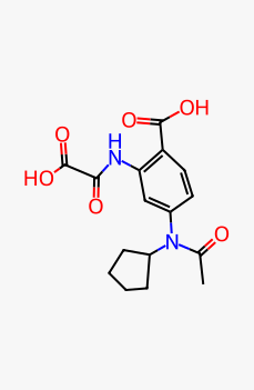 CC(=O)N(c1ccc(C(=O)O)c(NC(=O)C(=O)O)c1)C1CCCC1